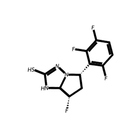 Fc1ccc(F)c([C@@H]2C[C@H](F)C3NC(S)=NN32)c1F